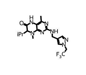 Cc1nc(NCc2cnn(CC(F)(F)F)c2)nc2c1NC(=O)C(C(C)C)N2C